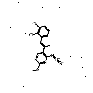 CSc1ncc(C(C)=Cc2cccc(Cl)c2Cl)c(N=[N+]=[N-])n1